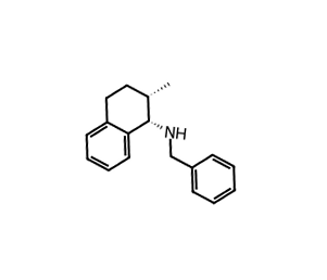 C[C@H]1CCc2ccccc2[C@H]1NCc1ccccc1